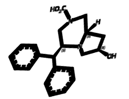 O=C(O)N1C[C@@H]2C[C@@H](O)CN2[C@@H](C(c2ccccc2)c2ccccc2)C1